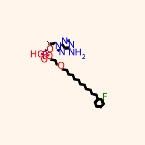 C[C@H](Cn1cnc2c(N)ncnc21)OCP(=O)(O)OCCCOCCCCCCCCCCCCc1ccccc1F